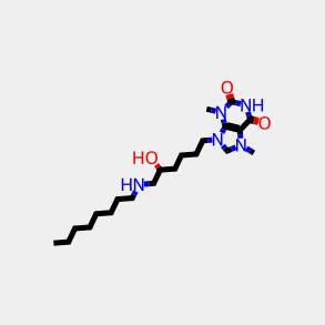 CCCCCCCCNCC(O)CCCCN1CN(C)c2c1n(C)c(=O)[nH]c2=O